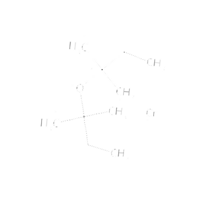 CCC(C)(C)OC(C)(C)CC.[Cr]